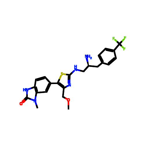 COCc1nc(NC[C@@H](N)Cc2ccc(C(F)(F)F)cc2)sc1-c1ccc2[nH]c(=O)n(C)c2c1